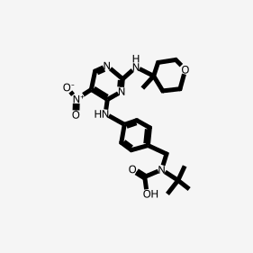 CC1(Nc2ncc([N+](=O)[O-])c(Nc3ccc(CN(C(=O)O)C(C)(C)C)cc3)n2)CCOCC1